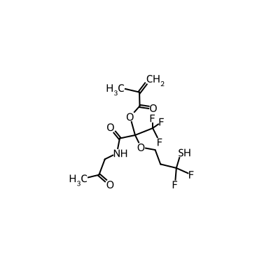 C=C(C)C(=O)OC(OCCC(F)(F)S)(C(=O)NCC(C)=O)C(F)(F)F